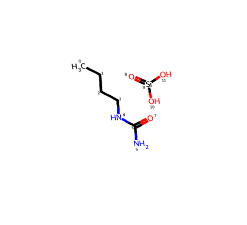 CCCCNC(N)=O.O=[Si](O)O